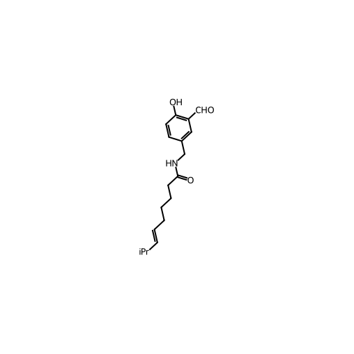 CC(C)/C=C/CCCCC(=O)NCc1ccc(O)c(C=O)c1